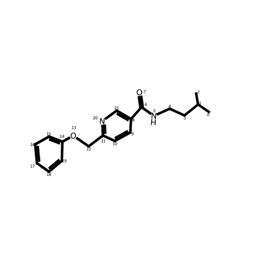 CC(C)CCNC(=O)c1ccc(COc2ccccc2)nc1